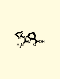 Nc1nc2c(C(=O)O)cccc2n1C1=NCCS1